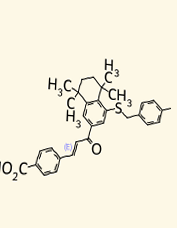 CC1(C)CCC(C)(C)c2c(SCc3ccc(F)cc3)cc(C(=O)/C=C/c3ccc(C(=O)O)cc3)cc21